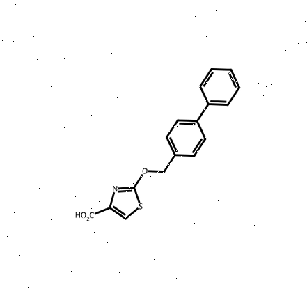 O=C(O)c1csc(OCc2ccc(-c3ccccc3)cc2)n1